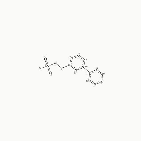 [CH2]S(=O)(=O)CCc1cccc(-c2ccccc2)n1